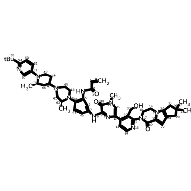 C=CC(=O)Nc1cc(Nc2nc(-c3ccnc(N4CCn5c(cc6c5CC(C)(C)C6)C4=O)c3CO)cn(C)c2=O)ccc1N1CCN(C2CCN(c3ccc(C(C)(C)C)nc3)[C@H](C)C2)C[C@@H]1C